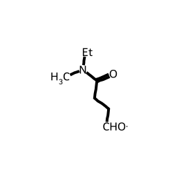 CCN(C)C(=O)CC[C]=O